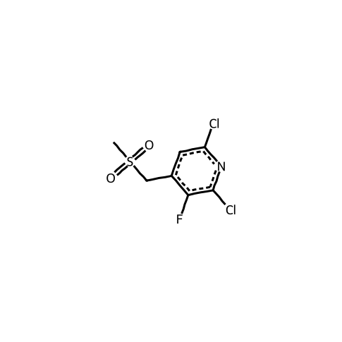 CS(=O)(=O)Cc1cc(Cl)nc(Cl)c1F